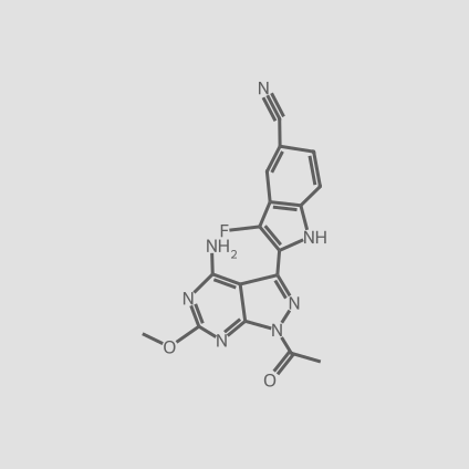 COc1nc(N)c2c(-c3[nH]c4ccc(C#N)cc4c3F)nn(C(C)=O)c2n1